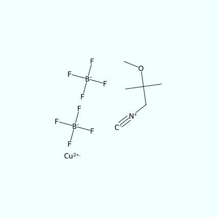 F[B-](F)(F)F.F[B-](F)(F)F.[C-]#[N+]CC(C)(C)OC.[Cu+2]